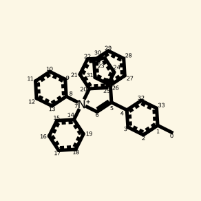 Cc1ccc(C(=C[N+](c2ccccc2)(c2ccccc2)c2ccccc2)c2ccccc2)cc1